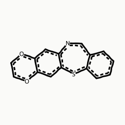 c1ccc2sc3cc4occoc4cc3ncc2c1